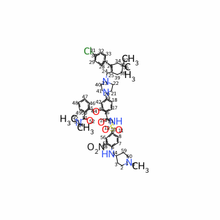 CN1CCC(Nc2ccc(S(=O)(=O)NC(=O)c3ccc(N4CCN(CC5=C(c6ccc(Cl)cc6)CC(C)(C)CC5)CC4)cc3Oc3ccccc3C(=O)N(C)C)cc2[N+](=O)[O-])CC1